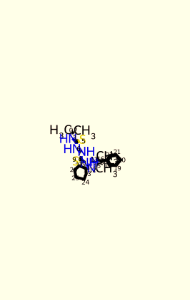 CC(C)NC(=S)NNC(=S)NC1(/N=N/C(C)(C)c2ccccc2)CCCCC1